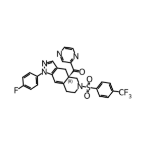 O=C(c1cnccn1)[C@]12Cc3cnn(-c4ccc(F)cc4)c3C=C1CCN(S(=O)(=O)c1ccc(C(F)(F)F)cc1)C2